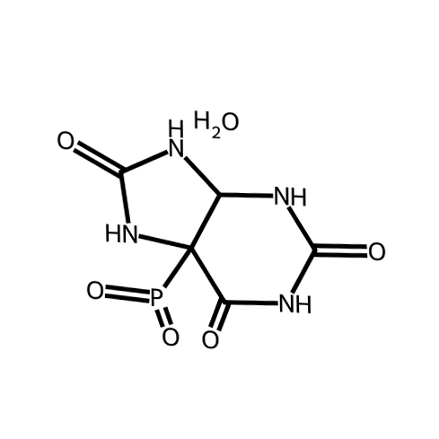 O.O=C1NC(=O)C2(P(=O)=O)NC(=O)NC2N1